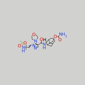 CC(C)(/C=C/n1ncc(C(=O)N[C@H]2C3CC4CC2C[C@](OC(N)=O)(C4)C3)c1N1CCOCC1)NS(C)(=O)=O